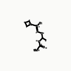 CC(O/N=[N+](\[O-])N1CCC1)OC(=O)C(C)(C)C